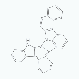 c1ccc2c(c1)ccc1c2c2cccc3c4c5ccccc5c5c6ccccc6[nH]c5c4n1c23